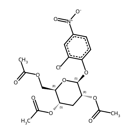 CC(=O)OC[C@H]1O[C@@H](Oc2ccc([N+](=O)[O-])cc2Cl)[C@H](OC(C)=O)C[C@@H]1OC(C)=O